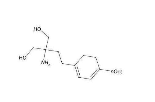 CCCCCCCCC1=CC=C(CCC(N)(CO)CO)CC1